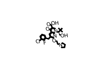 CC(C)(C)[C@@H](CO)n1cc(C(=O)O)c(=O)c2cc(Cc3cccc(Cl)c3F)c(OCCN3CCCC3)nc21